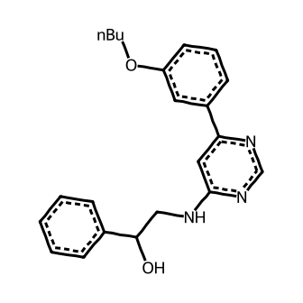 CCCCOc1cccc(-c2cc(NCC(O)c3ccccc3)ncn2)c1